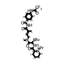 C/C(=C\CN(C)C(=O)C(NC(=O)C1CCCCN1C(C)C)C(C)(C)C)C(=O)N[S+]([O-])c1ccc(NC(=O)C(F)(F)F)cc1